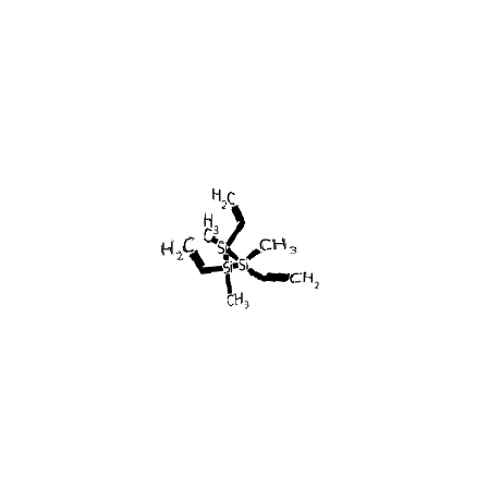 C=C[Si]1(C)[Si](C)(C=C)[Si]1(C)C=C